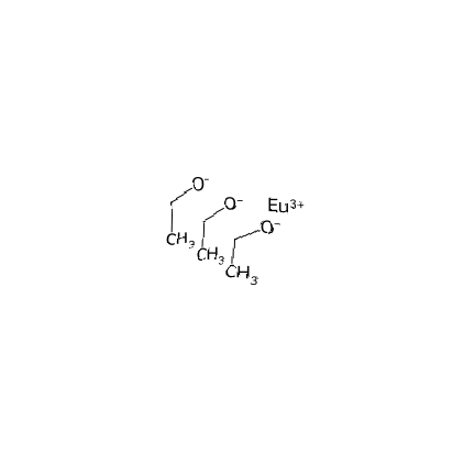 CC[O-].CC[O-].CC[O-].[Eu+3]